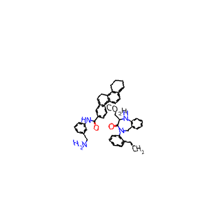 C=Cc1ccccc1N1Cc2ccccc2NC(CC(=O)O)C1=O.NCc1cccc(NC(=O)c2ccc3c(c2)=CCc2c4c(ccc2=3)=CCCC4)c1